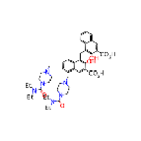 CCN(CC)C(=O)N1CCN(C)CC1.CCN(CC)C(=O)N1CCN(C)CC1.O=C(O)c1cc2ccccc2c(Cc2c(O)c(C(=O)O)cc3ccccc23)c1O